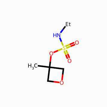 CCNS(=O)(=O)OC1(C)COC1